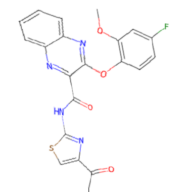 COc1cc(F)ccc1Oc1nc2ccccc2nc1C(=O)Nc1nc(C(C)=O)cs1